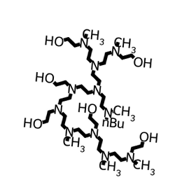 CCCCN(C)CCN(CCN(CCN(C)CCO)CCN(C)CCO)CCN(CCO)CCN(CCO)CCN(C)CCN(CCO)CCN(C)CCN(C)CCO